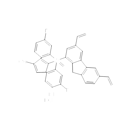 C=Cc1ccc2c(c1)-c1cc(C=C)c[c]([Zr](=[CH2])([C]3=CC(C(C)(C)C)=CC3)([c]3cccc(F)c3)[c]3cccc(F)c3)c1C2.Cl.Cl